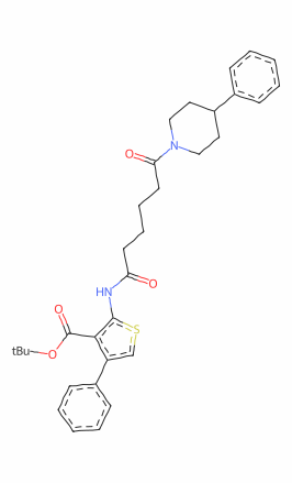 CC(C)(C)OC(=O)c1c(-c2ccccc2)csc1NC(=O)CCCCC(=O)N1CCC(c2ccccc2)CC1